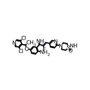 CC(Oc1ccc(N)c(C(=N)/C(F)=C/c2ccc(N3CCS(=N)(=O)CC3)nc2)c1)c1c(Cl)cncc1Cl